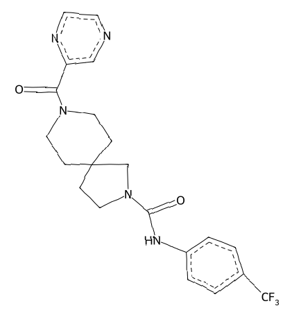 O=C(Nc1ccc(C(F)(F)F)cc1)N1CCC2(CCN(C(=O)c3cnccn3)CC2)C1